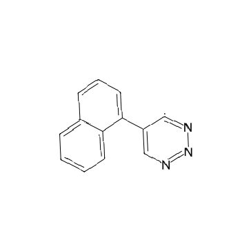 [c]1nnncc1-c1cccc2ccccc12